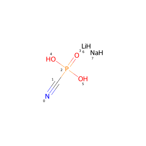 N#CP(=O)(O)O.[LiH].[NaH]